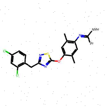 CNC(=Nc1cc(C)c(Oc2nc(Cc3ccc(Cl)cc3Cl)ns2)cc1C)C(C)C